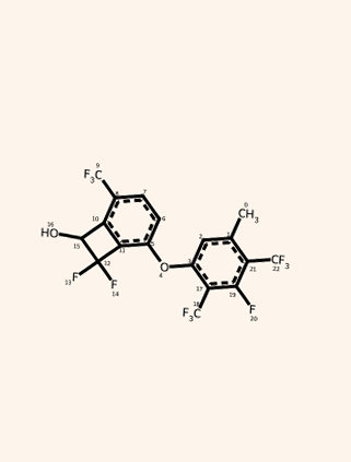 Cc1cc(Oc2ccc(C(F)(F)F)c3c2C(F)(F)C3O)c(C(F)(F)F)c(F)c1C(F)(F)F